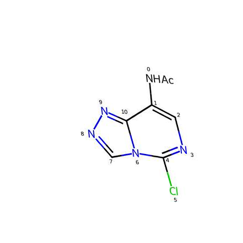 CC(=O)Nc1cnc(Cl)n2cnnc12